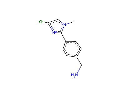 Cn1cc(Cl)nc1-c1ccc(CN)cc1